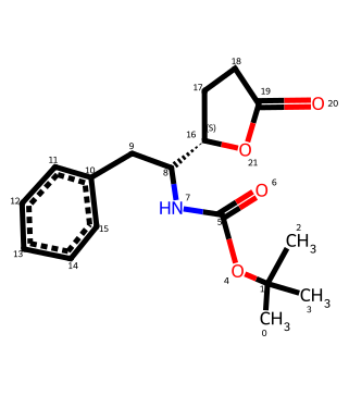 CC(C)(C)OC(=O)NC(Cc1ccccc1)[C@@H]1CCC(=O)O1